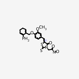 COc1cc(/C=C2\SC(=S)N(CC(=O)N=O)C2=O)ccc1OCC1=CCCC=C1P